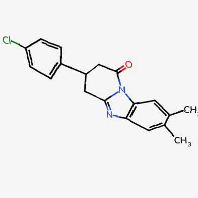 Cc1cc2nc3n(c2cc1C)C(=O)CC(c1ccc(Cl)cc1)C3